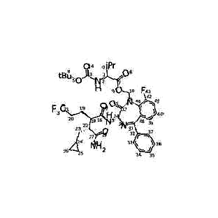 CC(C)C(NC(=O)OC(C)(C)C)C(=O)OCN1C(=O)[C@@H](NC(=O)[C@H](CCC(F)(F)F)[C@@H](CC2CC2)C(N)=O)N=C(c2ccccc2)c2cccc(F)c21